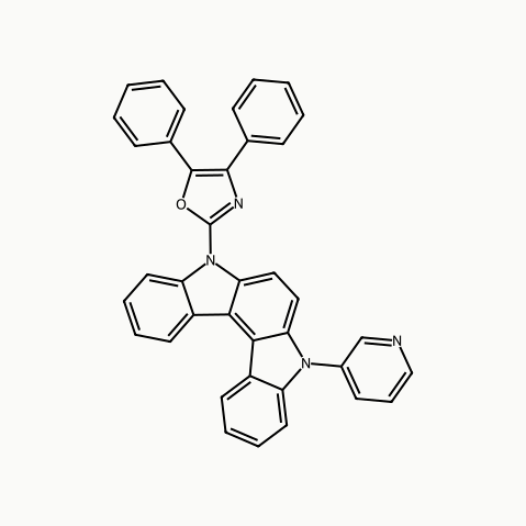 c1ccc(-c2nc(-n3c4ccccc4c4c5c6ccccc6n(-c6cccnc6)c5ccc43)oc2-c2ccccc2)cc1